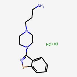 Cl.Cl.NCCCN1CCN(c2nsc3ccccc23)CC1